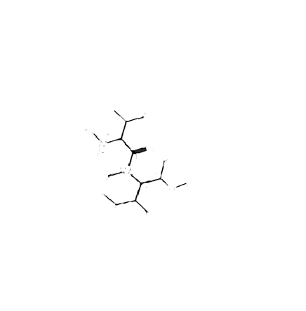 CCC(C)C(C(C)OC)N(C)C(=O)C(NS)C(C)C